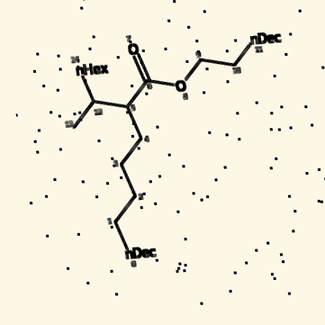 CCCCCCCCCCCCCCC(C(=O)OCCCCCCCCCCCC)C(C)CCCCCC